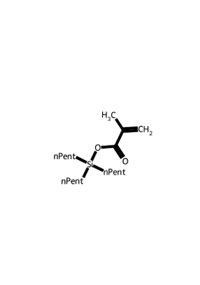 C=C(C)C(=O)O[Si](CCCCC)(CCCCC)CCCCC